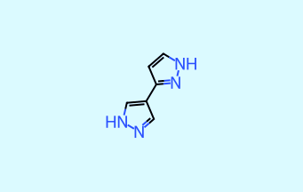 c1cc(-c2cn[nH]c2)n[nH]1